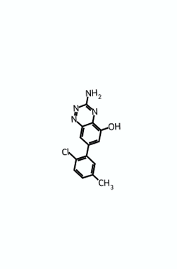 Cc1ccc(Cl)c(-c2cc(O)c3nc(N)nnc3c2)c1